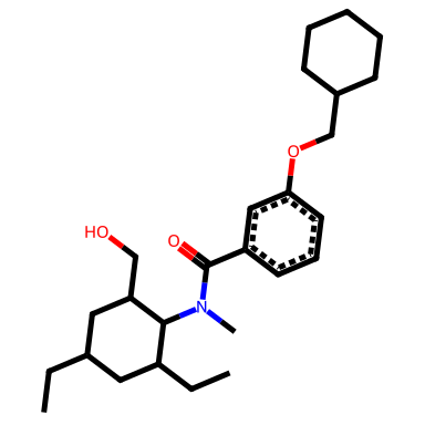 CCC1CC(CC)C(N(C)C(=O)c2cccc(OCC3CCCCC3)c2)C(CO)C1